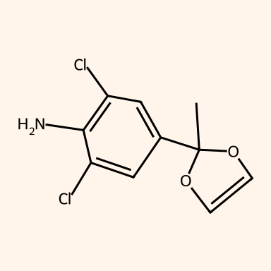 CC1(c2cc(Cl)c(N)c(Cl)c2)OC=CO1